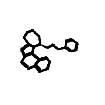 c1ccc(COC[C@H]2COCCc3nc4cnc5ccccc5c4n32)cc1